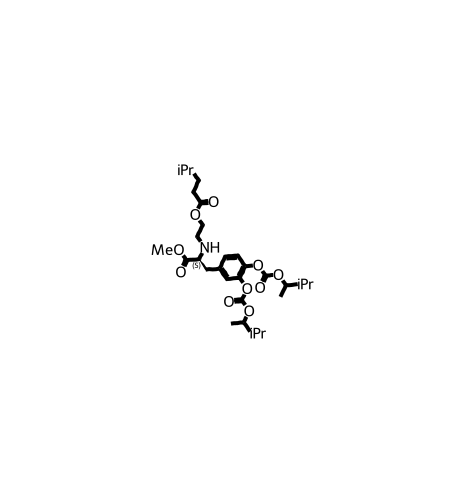 COC(=O)[C@H](Cc1ccc(OC(=O)OC(C)C(C)C)c(OC(=O)OC(C)C(C)C)c1)NCCOC(=O)CCC(C)C